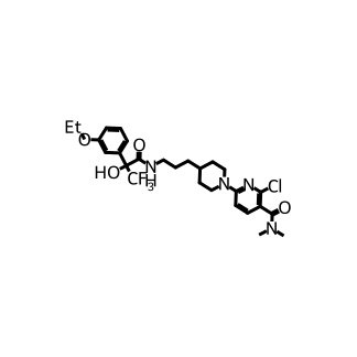 CCOc1cccc(C(O)(C(=O)NCCCC2CCN(c3ccc(C(=O)N(C)C)c(Cl)n3)CC2)C(F)(F)F)c1